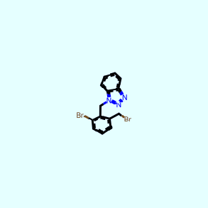 BrCc1cccc(Br)c1Cn1nnc2ccccc21